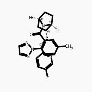 Cc1ccc(-n2nccn2)c(C(=O)N2[C@@H]3CC[C@H]2[C@H](COc2ccc(F)cn2)C3)c1